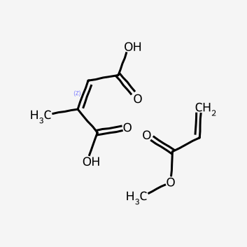 C/C(=C/C(=O)O)C(=O)O.C=CC(=O)OC